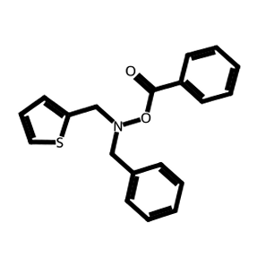 O=C(ON(Cc1ccccc1)Cc1cccs1)c1ccccc1